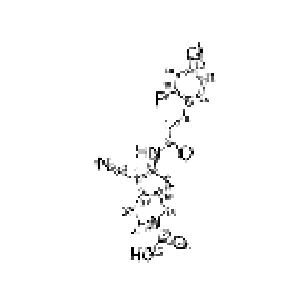 N#Cc1c(NC(=O)C=Cc2ccc(Cl)cc2F)sc2c1CCN(C(=O)O)C2